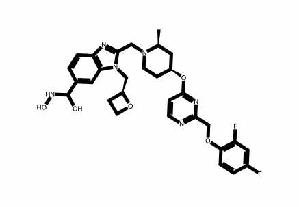 C[C@H]1C[C@@H](Oc2ccnc(COc3ccc(F)cc3F)n2)CCN1Cc1nc2ccc(C(O)NO)cc2n1C[C@@H]1CCO1